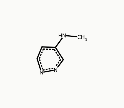 CNc1[c]nncc1